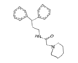 O=C(CN1CCCCC1)NCCC(c1ccccc1)c1ccccc1